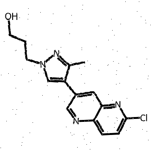 Cc1nn(CCCO)cc1-c1cnc2ccc(Cl)nc2c1